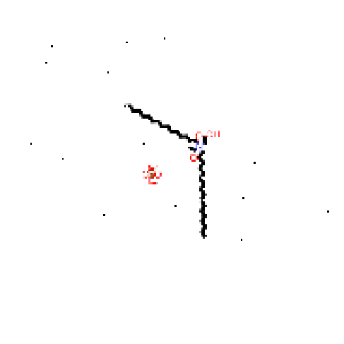 CCCCCCCCCCCCCCCC(=O)C[N+](CC)(CCO)C(=O)CCCCCCCCCCCCCCC.COS(=O)(=O)[O-]